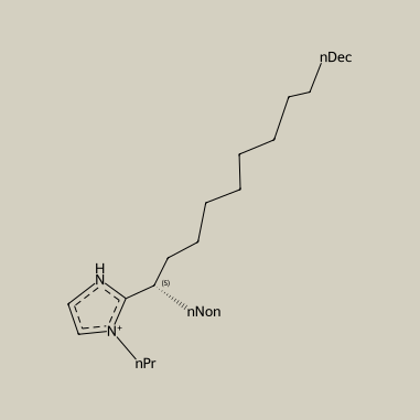 CCCCCCCCCCCCCCCCCC[C@H](CCCCCCCCC)c1[nH]cc[n+]1CCC